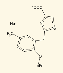 CCCOc1ccc(C(F)(F)F)cc1Cc1nc(C(=O)[O-])cs1.[Na+]